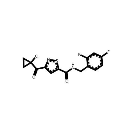 O=C(NCc1ccc(F)cc1F)c1cc(C(=O)C2(Cl)CC2)ns1